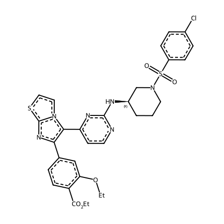 CCOC(=O)c1ccc(-c2nc3sccn3c2-c2ccnc(N[C@@H]3CCCN(S(=O)(=O)c4ccc(Cl)cc4)C3)n2)cc1OCC